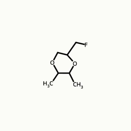 CC1OCC(CF)OC1C